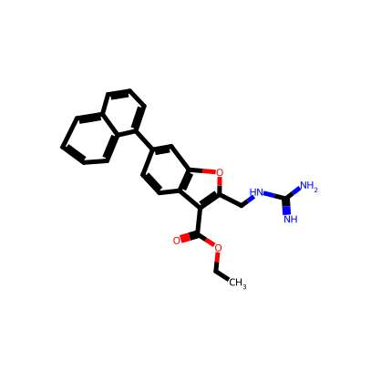 CCOC(=O)c1c(CNC(=N)N)oc2cc(-c3cccc4ccccc34)ccc12